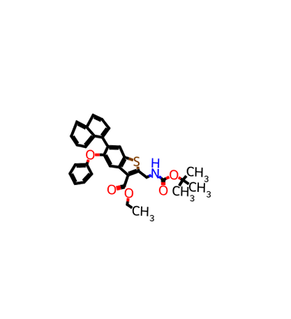 CCOC(=O)c1c(CNC(=O)OC(C)(C)C)sc2cc(-c3cccc4ccccc34)c(Oc3ccccc3)cc12